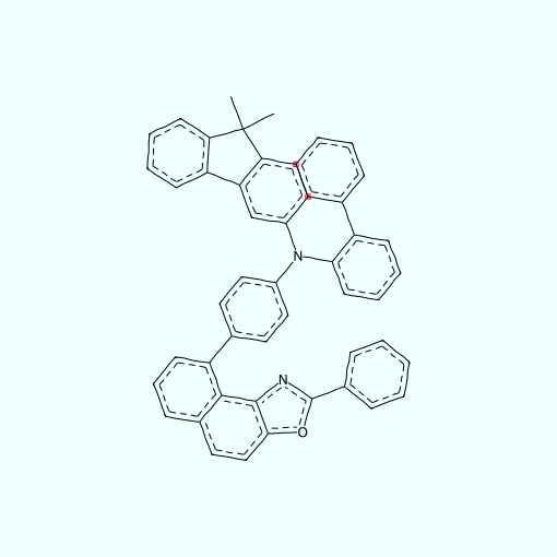 CC1(C)c2ccccc2-c2cc(N(c3ccc(-c4cccc5ccc6oc(-c7ccccc7)nc6c45)cc3)c3ccccc3-c3ccccc3)ccc21